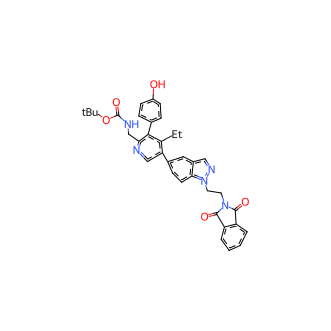 CCc1c(-c2ccc3c(cnn3CCN3C(=O)c4ccccc4C3=O)c2)cnc(CNC(=O)OC(C)(C)C)c1-c1ccc(O)cc1